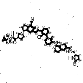 Cc1c(Nc2nccc3cc(CNC[C@@H]4CCC(=O)N4)cnc23)cccc1-c1cccc(-c2cc3cc4c(c(C#N)c3o2)CC[C@H]4N2CC[C@@H](C(=O)NS(=O)(=O)C3(C)CC3)C2)c1Cl